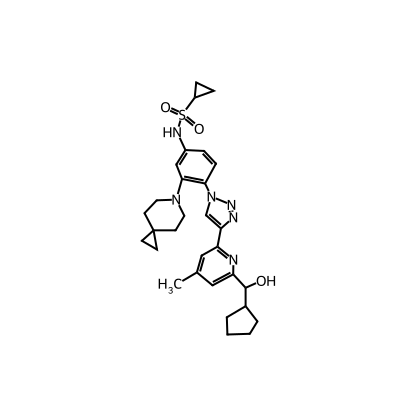 Cc1cc(-c2cn(-c3ccc(NS(=O)(=O)C4CC4)cc3N3CCC4(CC3)CC4)nn2)nc(C(O)C2CCCC2)c1